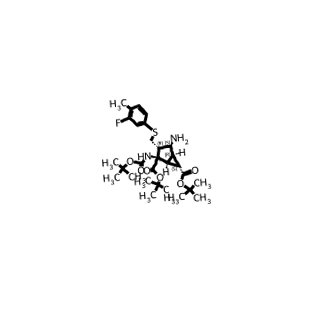 Cc1ccc(SC[C@@H]2[C@@H](N)[C@H]3[C@H](C(=O)OC(C)(C)C)[C@H]3[C@]2(NC(=O)OC(C)(C)C)C(=O)OC(C)(C)C)cc1F